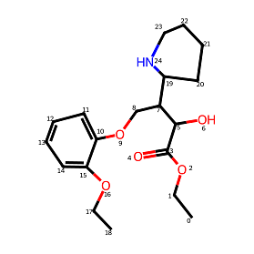 CCOC(=O)C(O)C(COc1ccccc1OCC)C1CCCCN1